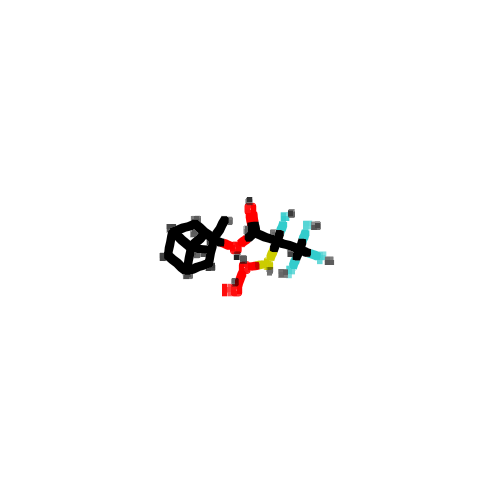 CC1(OC(=O)C(F)(SOO)C(F)(F)F)CC2CC(C1)C2(C)C